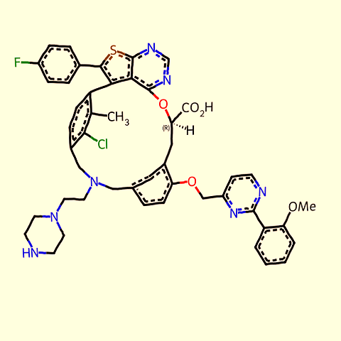 COc1ccccc1-c1nccc(COc2ccc3cc2C[C@H](C(=O)O)Oc2ncnc4sc(-c5ccc(F)cc5)c(c24)-c2ccc(c(Cl)c2C)CN(CCN2CCNCC2)C3)n1